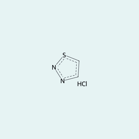 Cl.c1csnn1